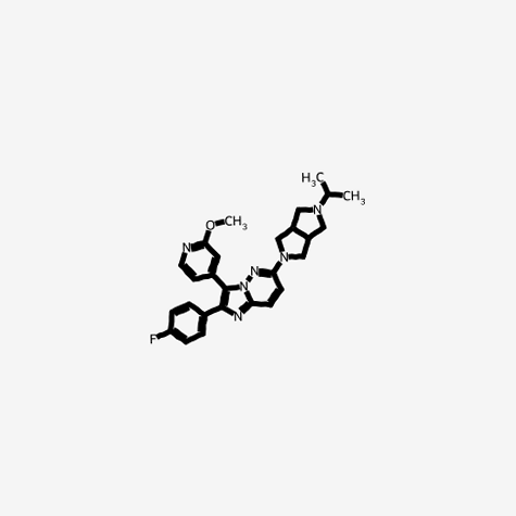 COc1cc(-c2c(-c3ccc(F)cc3)nc3ccc(N4CC5CN(C(C)C)CC5C4)nn23)ccn1